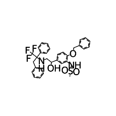 CS(=O)(=O)Nc1cc(C(O)CNC(Cc2ccccc2)(c2ccccc2)C(F)(F)F)ccc1OCc1ccccc1